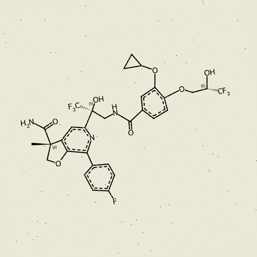 C[C@]1(C(N)=O)COc2c1cc([C@@](O)(CNC(=O)c1ccc(OC[C@H](O)C(F)(F)F)c(OC3CC3)c1)C(F)(F)F)nc2-c1ccc(F)cc1